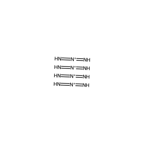 N=[N+]=N.N=[N+]=N.N=[N+]=N.N=[N+]=N